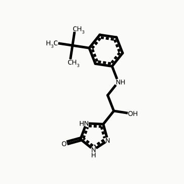 CC(C)(C)c1cccc(NCC(O)c2n[nH]c(=O)[nH]2)c1